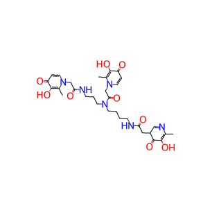 CC1=C(O)C(=O)C(CC(=O)NCCCCN(CCCNC(=O)Cn2ccc(=O)c(O)c2C)C(=O)Cn2ccc(=O)c(O)c2C)C=N1